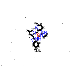 C=C1CC(c2nc3cc(C(C)(C)C)ccc3[nH]2)N(C(=O)c2nc(C)ccc2-n2nccn2)C1